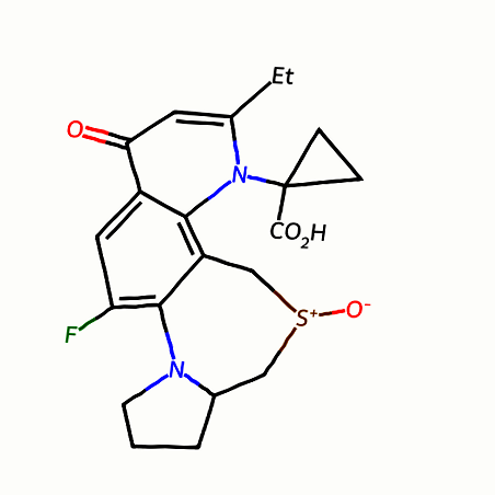 CCc1cc(=O)c2cc(F)c3c(c2n1C1(C(=O)O)CC1)C[S+]([O-])CC1CCCN31